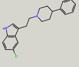 Clc1ccc2[nH]cc(CCN3CCC(c4ccccc4)CC3)c2c1